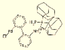 CCCC(P)(C12CC3CC(CC(C3)C1)C2)C12CC3CC(CC(C3)C1)C2.Nc1ccccc1-c1cccc[c]1[Pd][Cl]